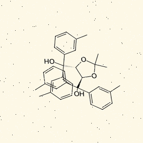 Cc1cccc(C(O)(c2cccc(C)c2)[C@@H]2OC(C)(C)O[C@H]2C(O)(c2cccc(C)c2)c2cccc(C)c2)c1